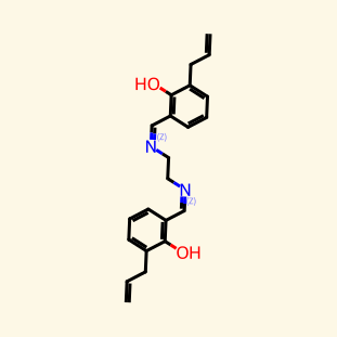 C=CCc1cccc(/C=N\CC/N=C\c2cccc(CC=C)c2O)c1O